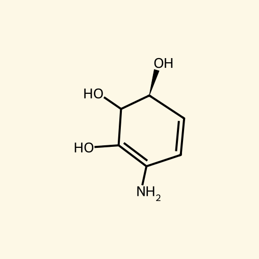 NC1=C(O)C(O)[C@@H](O)C=C1